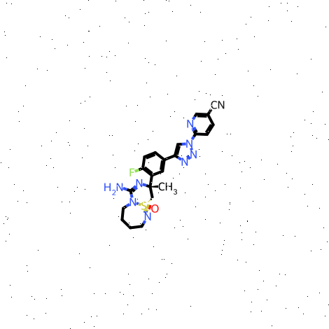 C[C@@]1(c2cc(-c3cn(-c4ccc(C#N)cn4)nn3)ccc2F)C[S@]2(=O)=NCCCCN2C(N)=N1